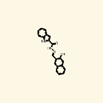 O=C(N/N=C/c1cc2ccccc2cc1O)c1cc2ccccc2[nH]1